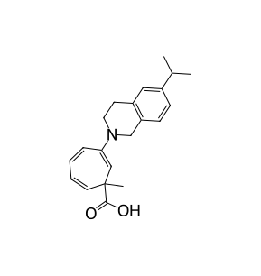 CC(C)c1ccc2c(c1)CCN(C1=CC(C)(C(=O)O)C=CC=C1)C2